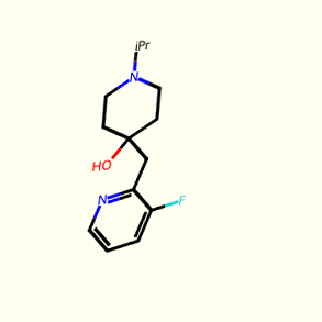 CC(C)N1CCC(O)(Cc2ncccc2F)CC1